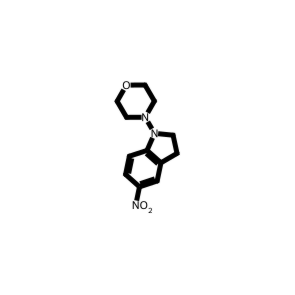 O=[N+]([O-])c1ccc2c(c1)CCN2N1CCOCC1